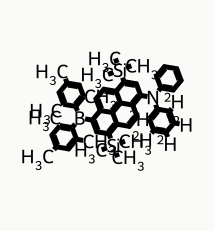 [2H]c1c([2H])c([2H])c(N(c2ccccc2)c2cc([Si](C)(C)C)c3ccc4c(B(c5c(C)cc(C)cc5C)c5c(C)cc(C)cc5C)cc([Si](C)(C)C)c5ccc2c3c45)c([2H])c1[2H]